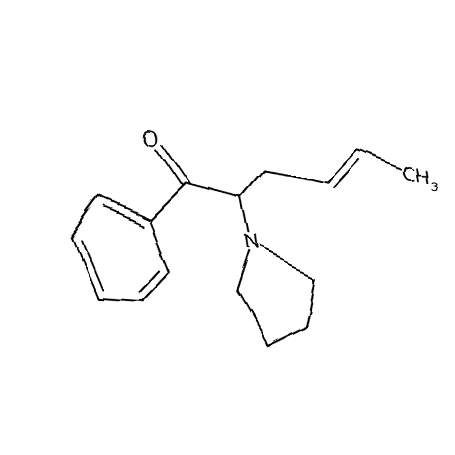 C/C=C/CC(C(=O)c1ccccc1)N1CCCC1